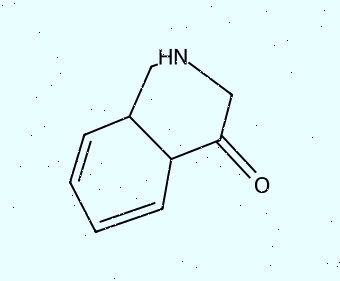 O=C1CNCC2C=CC=CC12